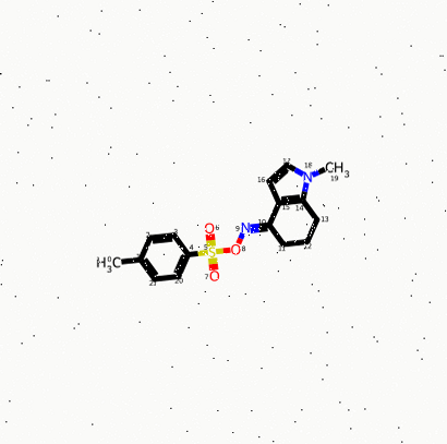 Cc1ccc(S(=O)(=O)O/N=C2\CCCc3c2ccn3C)cc1